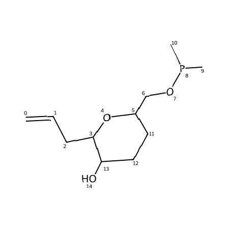 C=CCC1OC(COP(C)C)CCC1O